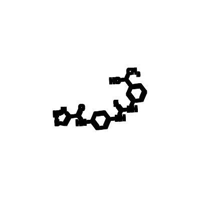 CC(O)c1cccc(NC(=S)Nc2ccc(NC(=O)c3csnn3)cc2)c1